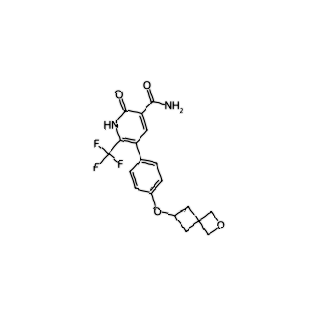 NC(=O)c1cc(-c2ccc(OC3CC4(COC4)C3)cc2)c(C(F)(F)F)[nH]c1=O